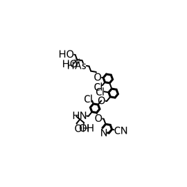 CC(CO)(CO)NCc1cc(Cl)c(OCc2cccc(-c3cccc(OCCC[AsH]C[C@@H](O)CO)c3Cl)c2Cl)cc1OCc1cncc(C#N)c1